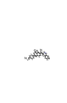 Cc1cc(N2CCN(C)CC2)nc2ccc(NC(=O)/C=C\c3cccnc3)cc12